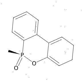 C[P@]1(=O)OC2=CCCC=C2c2ccccc21